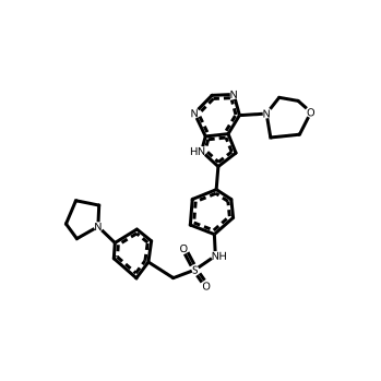 O=S(=O)(Cc1ccc(N2CCCC2)cc1)Nc1ccc(-c2cc3c(N4CCOCC4)ncnc3[nH]2)cc1